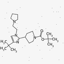 CC(C)(C)OC(=O)N1CCC(c2nc(C(C)(C)C)cn2CCN2CCCC2)CC1